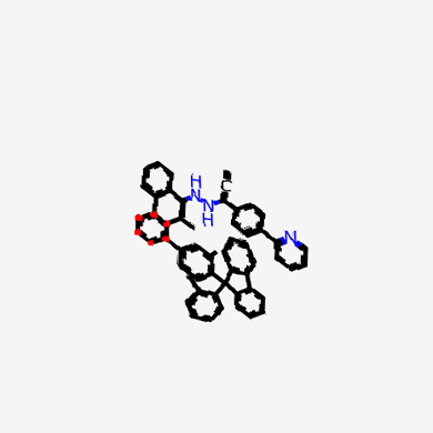 C=C=C(NN/C(=C(\C)c1ccccc1-c1ccc(C2(c3ccccc3C)c3ccccc3-c3ccccc32)c(C)c1)c1ccccc1-c1ccccc1)c1ccc(-c2ccccn2)cc1